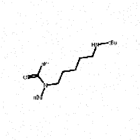 CCCCN(CCCCCNC(C)(C)C)C(=O)CCC